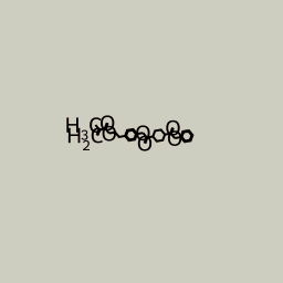 C=C(C)C(=O)OCCc1ccc(OC(=O)C2CCC(C(=O)Oc3ccccc3)CC2)cc1